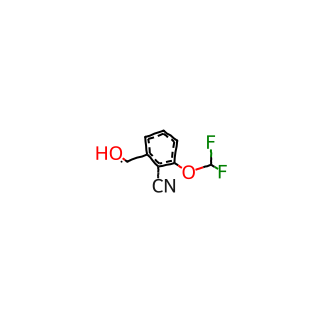 N#Cc1c([CH]O)cccc1OC(F)F